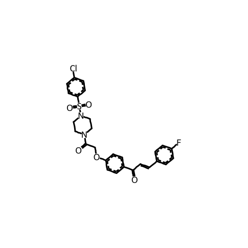 O=C(C=Cc1ccc(F)cc1)c1ccc(OCC(=O)N2CCN(S(=O)(=O)c3ccc(Cl)cc3)CC2)cc1